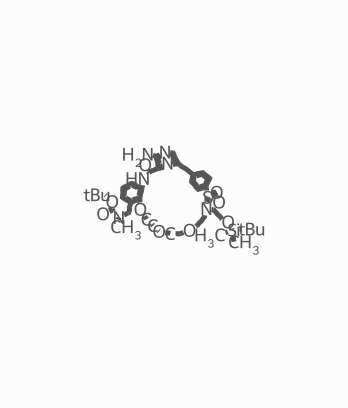 CN(Cc1cccc2c1OCCOCCOCCN(CCO[Si](C)(C)C(C)(C)C)S(=O)(=O)c1ccc(cc1)-c1cnc(N)c(n1)C(=O)N2)C(=O)OC(C)(C)C